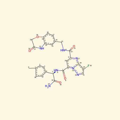 Cc1ccc([C@@H](NC(=O)c2cc(C(=O)NCc3ccc4c(c3)NC(=O)CO4)nc3c(F)cnn23)C(N)=O)cc1